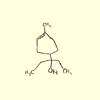 CCC(O)(CC)C1CC=C(C)CC1